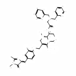 CC1=N/C(=C\c2ccc(OCC3=C(C(=O)O)N4COCC(NC(=O)CN(Cc5ccccn5)Cc5ccccn5)C4[S+]([O-])C3)c(F)c2)C(=O)N1C